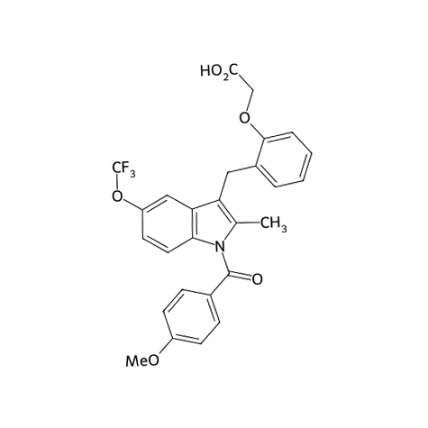 COc1ccc(C(=O)n2c(C)c(Cc3ccccc3OCC(=O)O)c3cc(OC(F)(F)F)ccc32)cc1